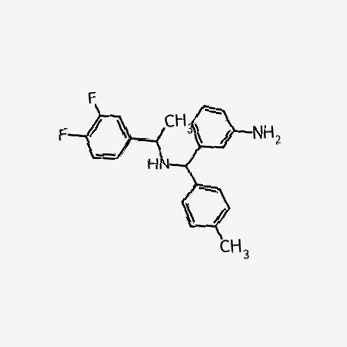 Cc1ccc(C(NC(C)c2ccc(F)c(F)c2)c2cccc(N)c2)cc1